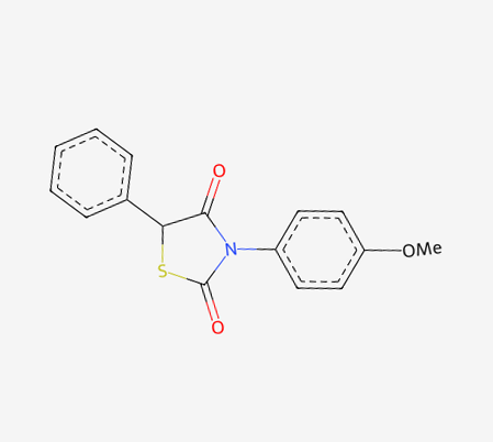 COc1ccc(N2C(=O)SC(c3ccccc3)C2=O)cc1